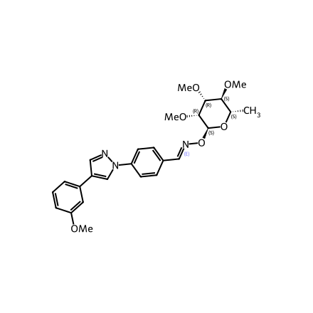 COc1cccc(-c2cnn(-c3ccc(/C=N/O[C@@H]4O[C@@H](C)[C@H](OC)[C@@H](OC)[C@H]4OC)cc3)c2)c1